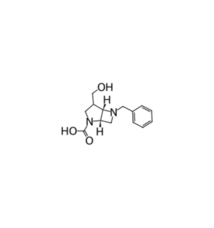 O=C(O)N1CC(CO)[C@H]2[C@@H]1CN2Cc1ccccc1